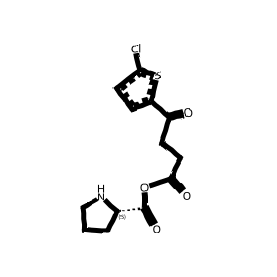 O=C(CCC(=O)c1ccc(Cl)s1)OC(=O)[C@@H]1CCCN1